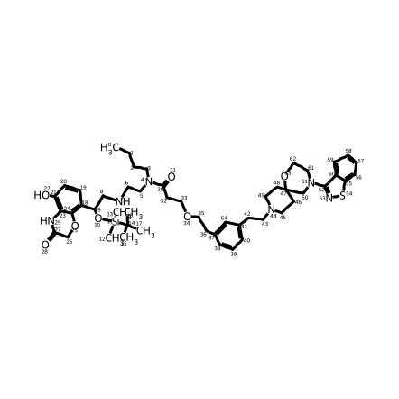 CCCCN(CCNCC(O[Si](C)(C)C(C)(C)C)c1ccc(O)c2c1OCC(=O)N2)C(=O)CCOCCc1cccc(CCN2CCC3(CC2)CN(c2nsc4ccccc24)CCO3)c1